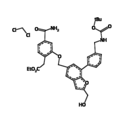 CCOC(=O)Cc1ccc(C(N)=O)cc1OCc1cc(-c2cccc(CNC(=O)OC(C)(C)C)c2)c2oc(CO)cc2c1.ClCCl